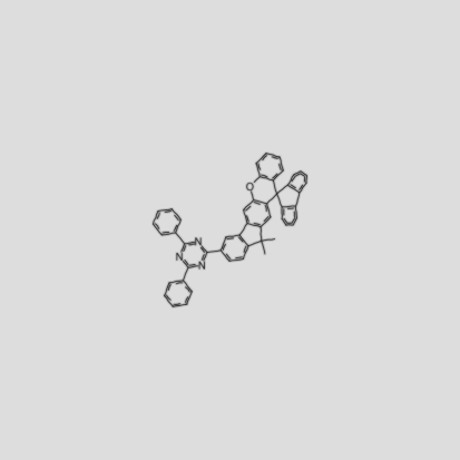 CC1(C)c2ccc(-c3nc(-c4ccccc4)nc(-c4ccccc4)n3)cc2-c2cc3c(cc21)C1(c2ccccc2O3)c2ccccc2-c2ccccc21